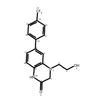 O=C1CN(CCO)c2cc(-c3ccc(C(F)(F)F)cc3)ccc2N1